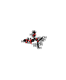 CCn1c(CN(C=O)c2nc3cc[nH]c3nc2N)[n+](CC)c2ccc(C(=O)N3CC[C@@H](N(C[C@H](O)[C@@H](O)[C@H](O)[C@H](O)CO)C[C@H](O)[C@@H](O)[C@H](O)[C@H](O)CO)C3)cc21.O=C(O)C(F)(F)F.O=C([O-])C(F)(F)F